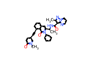 Cc1nn2cccnc2c1C(=O)NC(C)c1cc2cccc(C#Cc3ccc(=O)n(C)c3)c2c(=O)n1-c1ccccc1